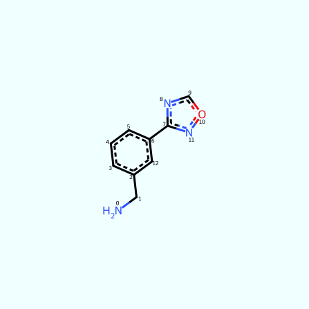 NCc1cccc(-c2ncon2)c1